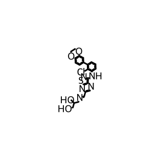 OCC(O)CN=Cc1cnc2c(Nc3cccc(-c4ccc5c(c4)OCCO5)c3Cl)nsc2n1